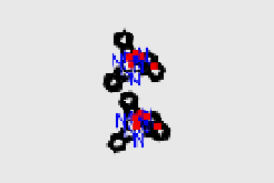 c1ccc2c(c1)C1=Nc3c4ccccc4c4[n]3[Cu]35[n]6c(c7ccccc7c6=NC6=[N+]3C(=N4)c3ccccc36)=NC2=[N+]15.c1ccc2c(c1)C1=Nc3c4ccccc4c4[n]3[Cu]35[n]6c(c7ccccc7c6=NC6=[N+]3C(=N4)c3ccccc36)=NC2=[N+]15